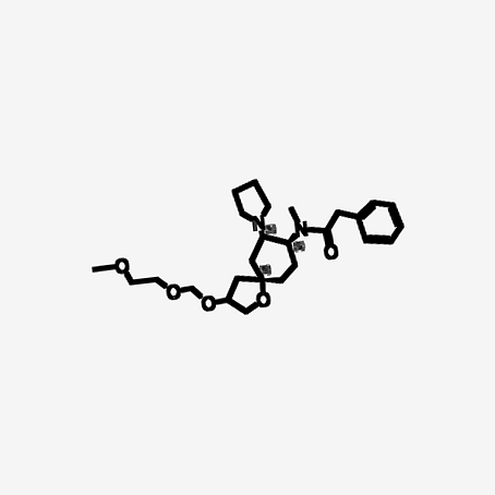 COCCOCOC1CO[C@]2(CC[C@H](N(C)C(=O)Cc3ccccc3)[C@@H](N3CCCC3)C2)C1